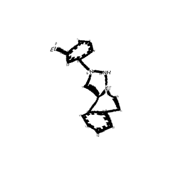 CCc1cccc(N2C=C3c4ccccc4C=CN3N2)c1